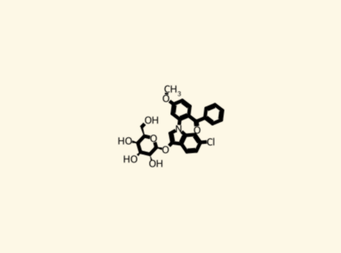 COc1ccc(C(=O)c2ccccc2)c(-n2cc(O[C@@H]3O[C@H](CO)[C@H](O)[C@H](O)[C@H]3O)c3ccc(Cl)cc32)c1